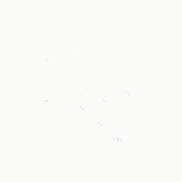 COc1cc(S(C)(=O)=O)ccc1Nc1nc(NCC(C)C)c2cc[nH]c2n1